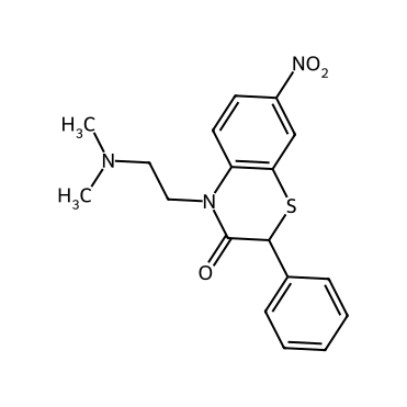 CN(C)CCN1C(=O)C(c2ccccc2)Sc2cc([N+](=O)[O-])ccc21